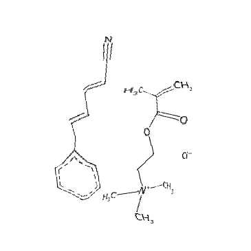 C=C(C)C(=O)OCC[N+](C)(C)C.N#CC=CC=Cc1ccccc1.[Cl-]